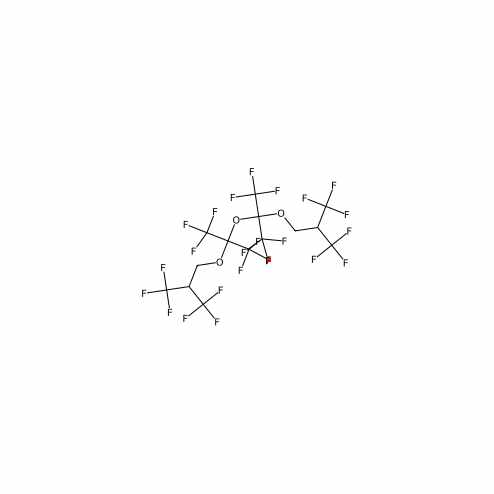 FC(F)(F)C(COC(OC(OCC(C(F)(F)F)C(F)(F)F)(C(F)(F)F)C(F)(F)F)(C(F)(F)F)C(F)(F)F)C(F)(F)F